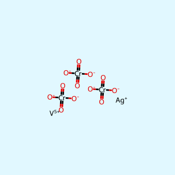 [Ag+].[O]=[Cr](=[O])([O-])[O-].[O]=[Cr](=[O])([O-])[O-].[O]=[Cr](=[O])([O-])[O-].[V+5]